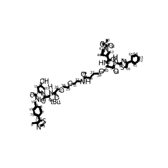 Cc1ncsc1-c1ccc(CNC(=O)[C@@H]2C[C@@H](O)CN2C(=O)[C@@H](NC(=O)COCCOCCNC(=O)CCCOC[C@H](NC(=O)c2ccn(S(C)(=O)=O)c2)C(=O)Nc2nc(-c3ccccc3)cs2)C(C)(C)C)cc1